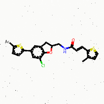 CC(=O)c1ccc(-c2cc(Cl)c3c(c2)CC(CNC(=O)/C=C/c2sccc2C)O3)s1